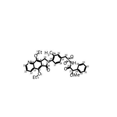 CCOc1c2c(c(OCC)c3ncccc13)CN(c1ccc(CS(=O)(=O)NC(=O)[C@H](OC)c3ccccc3)cc1C)C2=O